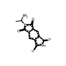 BC(C)n1c(=O)c2cc3c(=O)[nH]c(=O)c3cc2c1=O